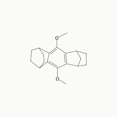 COc1c2c(c(OC)c3c1C1CCC3C1)C1CCC2CC1